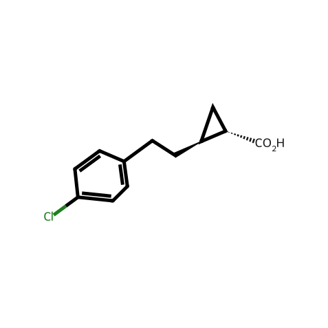 O=C(O)[C@H]1C[C@@H]1CCc1ccc(Cl)cc1